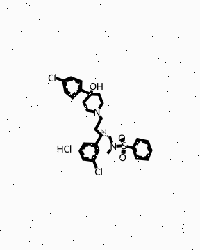 CN(C[C@@H](CCN1CCC(O)(c2ccc(Cl)cc2)CC1)c1cccc(Cl)c1)S(=O)(=O)c1ccccc1.Cl